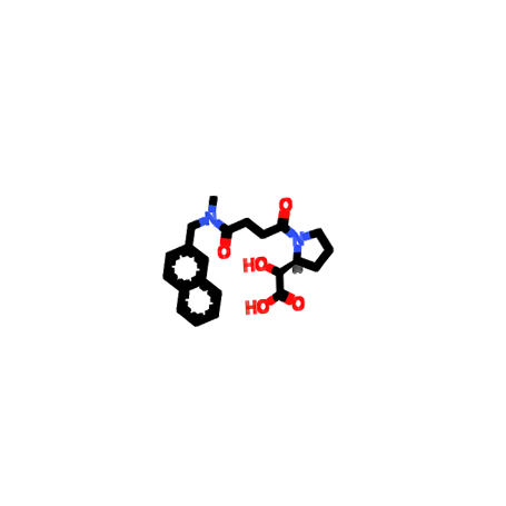 CN(Cc1ccc2ccccc2c1)C(=O)CCC(=O)N1CCC[C@H]1C(O)C(=O)O